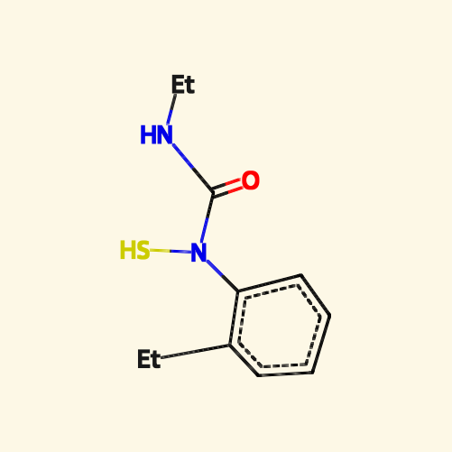 CCNC(=O)N(S)c1ccccc1CC